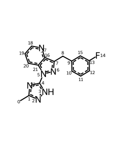 Cc1n[nH]c(-n2nc(Cc3cccc(F)c3)c3ncccc32)n1